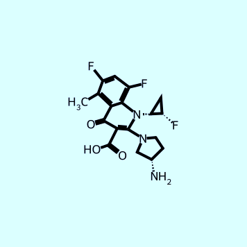 Cc1c(F)cc(F)c2c1c(=O)c(C(=O)O)c(N1CC[C@H](N)C1)n2[C@@H]1C[C@@H]1F